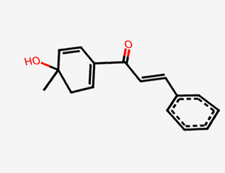 CC1(O)C=CC(C(=O)C=Cc2ccccc2)=CC1